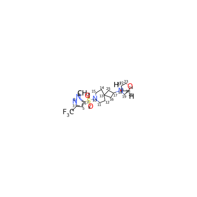 Cn1nc(C(F)(F)F)cc1S(=O)(=O)N1CCC2(CC1)CC(N1C[C@H]3C[C@@H]1CO3)C2